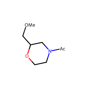 [CH2]C(=O)N1CCOC(COC)C1